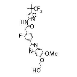 COc1cc2nc(-c3ccc(CC(=O)Nc4cc(C(C)(C)C(F)(F)F)on4)c(F)c3)cnc2cc1OCCO